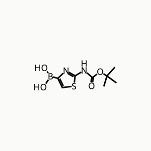 CC(C)(C)OC(=O)Nc1nc(B(O)O)cs1